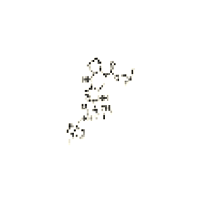 CC(O)(C(=O)NCC(F)(F)C(F)(F)F)C(=O)N[C@H]1CN(C(=O)OCC(F)(F)F)c2ccccc2NC1=O